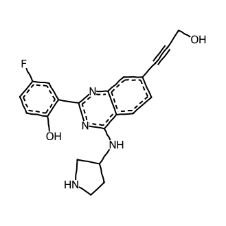 OCC#Cc1ccc2c(NC3CCNC3)nc(-c3cc(F)ccc3O)nc2c1